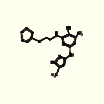 Cc1cc(Nc2cc(C(F)(F)F)c(C#N)c(NCCOc3ccccc3)n2)n[nH]1